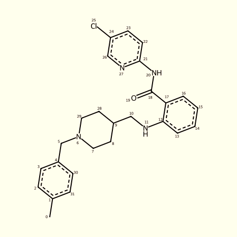 Cc1ccc(CN2CCC(CNc3ccccc3C(=O)Nc3ccc(Cl)cn3)CC2)cc1